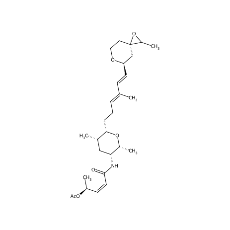 CC(=O)O[C@@H](C)/C=C\C(=O)N[C@@H]1C[C@H](C)[C@H](CC/C=C(C)/C=C/[C@@H]2C[C@]3(CCO2)OC3C)O[C@@H]1C